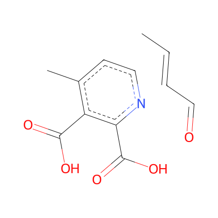 CC=CC=O.Cc1ccnc(C(=O)O)c1C(=O)O